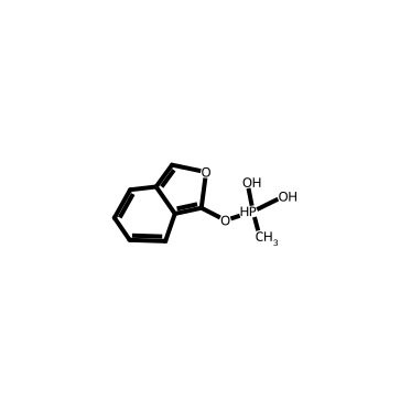 C[PH](O)(O)Oc1occ2ccccc12